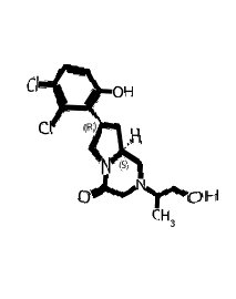 CC(CO)N1CC(=O)N2C[C@@H](c3c(O)ccc(Cl)c3Cl)C[C@H]2C1